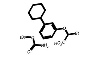 CC(C)(C)OC(N)=O.CCC(Oc1cccc(C2CCCCC2)c1)C(=O)O